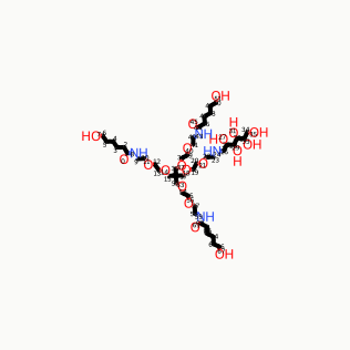 O=C(CCCCCO)NCCOCCOCC(COCCOCCNC[C@H](O)[C@@H](O)[C@@H](O)[C@@H](O)CO)(COCCOCCNC(=O)CCCCCO)COCCOCCNC(=O)CCCCCO